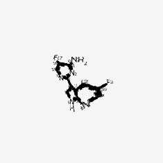 Nc1nc(-c2c[nH]c3ncc(F)cc23)ncc1F